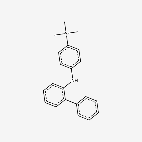 CS(C)(C)c1ccc(Nc2ccccc2-c2ccccc2)cc1